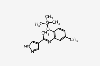 CC(=Nc1cc(C)ccc1O[Si](C)(C)C)c1cn[nH]c1